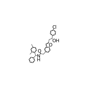 Cc1ccc(C(NC(=O)Cc2ccc3oc(CC(O)c4ccc(Cl)cc4)cc3c2)c2ccccc2)c(C)c1